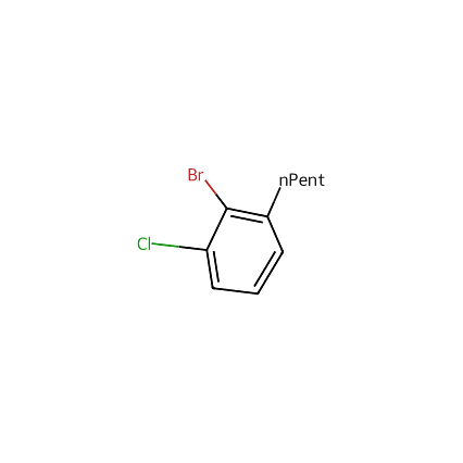 CCCCCc1cccc(Cl)c1Br